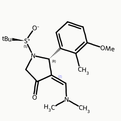 COc1cccc([C@@H]2/C(=C/N(C)C)C(=O)CN2[S@+]([O-])C(C)(C)C)c1C